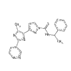 Cc1nc(-c2cccnc2)sc1-c1ccn(C(=S)NC(C)c2ccccc2)n1